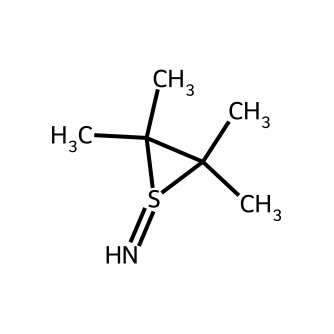 CC1(C)S(=N)C1(C)C